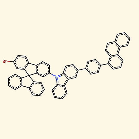 Brc1ccc2c(c1)C1(c3ccccc3-c3ccccc31)c1cc(-n3c4ccccc4c4cc(-c5ccc(-c6cccc7c6ccc6ccccc67)cc5)ccc43)ccc1-2